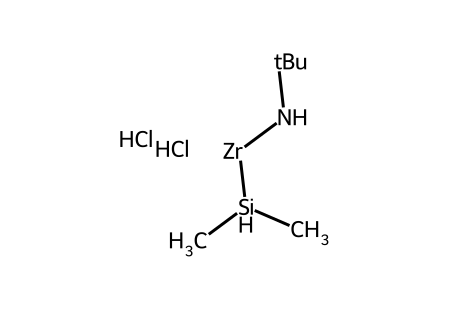 C[SiH](C)[Zr][NH]C(C)(C)C.Cl.Cl